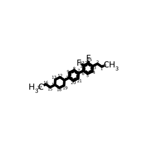 CCCc1ccc(-c2ccc(C3CCC(CCC)CC3)cc2)c(F)c1F